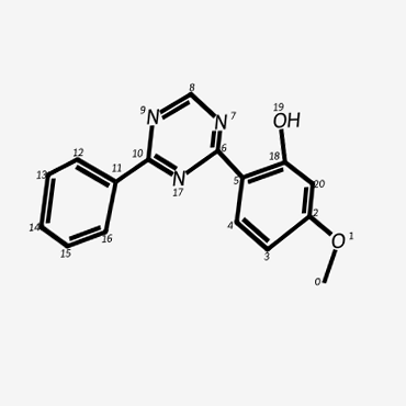 COc1ccc(-c2ncnc(-c3ccccc3)n2)c(O)c1